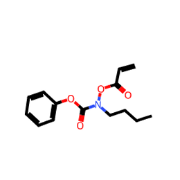 C=CC(=O)ON(CCCC)C(=O)Oc1ccccc1